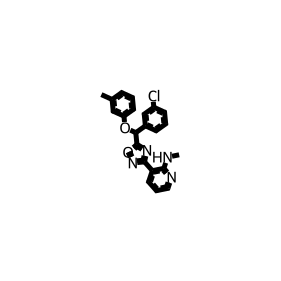 CNc1ncccc1-c1noc(C(Oc2cccc(C)c2)c2cccc(Cl)c2)n1